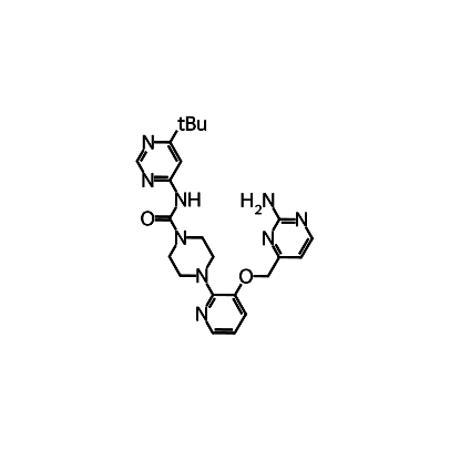 CC(C)(C)c1cc(NC(=O)N2CCN(c3ncccc3OCc3ccnc(N)n3)CC2)ncn1